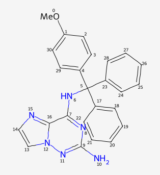 COc1ccc(C(Nc2nc(N)nn3ccnc23)(c2ccccc2)c2ccccc2)cc1